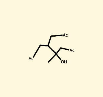 CC(=O)CC(CC(C)=O)C(C)(O)CC(C)=O